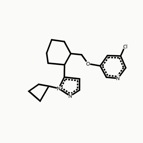 Clc1cncc(OCC2CCCCC2c2ccnn2C2CCC2)c1